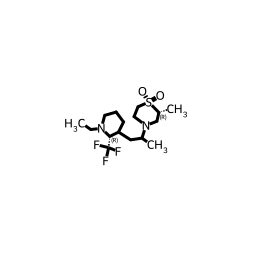 CCN1CCCC(CC(C)N2CCS(=O)(=O)[C@H](C)C2)[C@@H]1C(F)(F)F